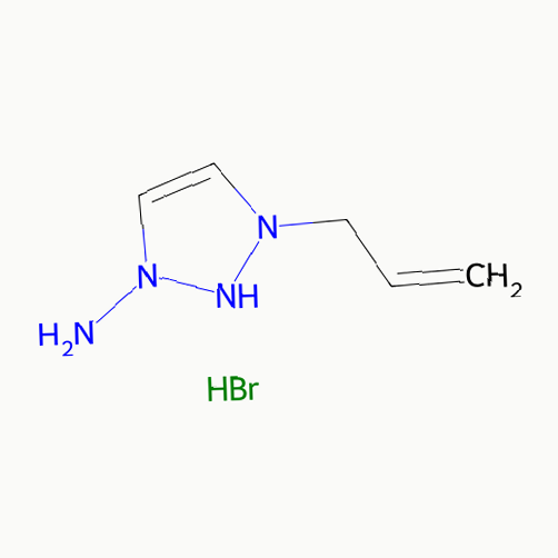 Br.C=CCN1C=CN(N)N1